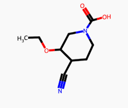 CCOC1CN(C(=O)O)CCC1C#N